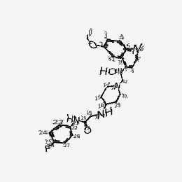 COc1ccc2nccc([C@@H](O)CN3CCC(NCC(=O)Nc4ccc(F)cc4)CC3)c2c1